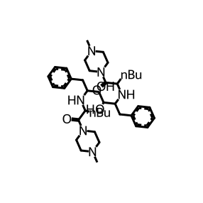 CCCCC(NC(Cc1ccccc1)C(O)C(O)C(Cc1ccccc1)NC(CCCC)C(=O)N1CCN(C)CC1)C(=O)N1CCN(C)CC1